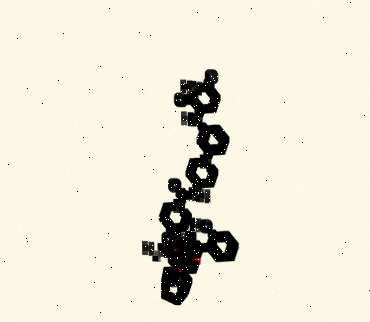 NC(N)=C(/C=C(\N)c1ccccc1O)N1CC2CCC(C1)N2c1cccc(OC2CCN(C(=O)NC3CCN(c4cccc(NC5CCC(=O)NC5=O)c4)CC3)CC2)c1